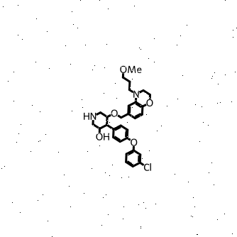 COCCCN1CCOc2ccc(COC3CNCC(O)C3c3ccc(Oc4cccc(Cl)c4)cc3)cc21